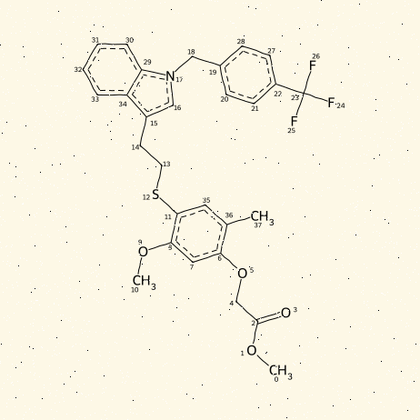 COC(=O)COc1cc(OC)c(SCCc2cn(Cc3ccc(C(F)(F)F)cc3)c3ccccc23)cc1C